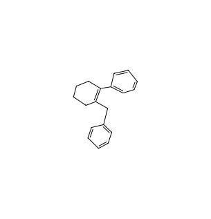 c1ccc(CC2=C(c3ccccc3)CCCC2)cc1